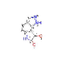 O=C1Nc2ccc3cn[nH]c3c2C1=O